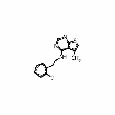 Cc1csc2ncnc(NCCc3ccccc3Cl)c12